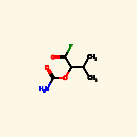 CC(C)C(OC(N)=O)C(=O)F